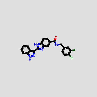 O=C(NCc1ccc(Cl)c(F)c1)c1ccc2[nH]c(-c3n[nH]c4ccccc34)nc2c1